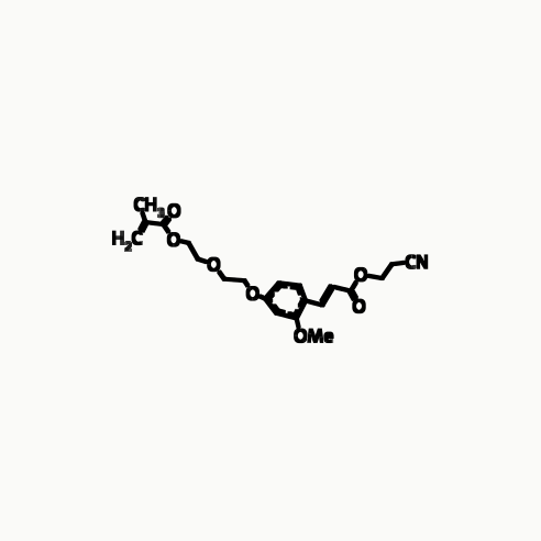 C=C(C)C(=O)OCCOCCOc1ccc(/C=C/C(=O)OCCC#N)c(OC)c1